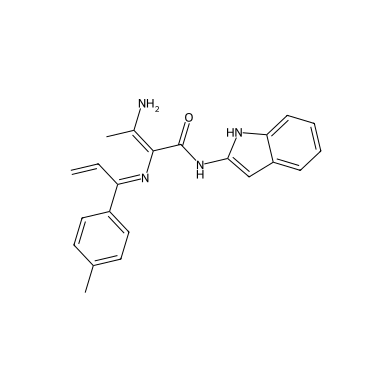 C=C/C(=N\C(C(=O)Nc1cc2ccccc2[nH]1)=C(/C)N)c1ccc(C)cc1